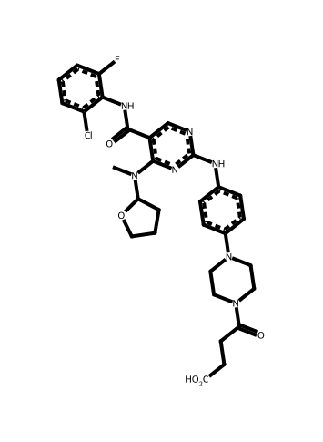 CN(c1nc(Nc2ccc(N3CCN(C(=O)CCC(=O)O)CC3)cc2)ncc1C(=O)Nc1c(F)cccc1Cl)C1CCCO1